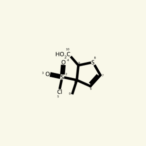 CC1(S(=O)(=O)Cl)C=CSC1C(=O)O